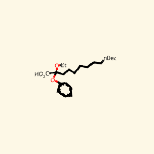 CCCCCCCCCCCCCCCCCC(OCC)(Oc1ccccc1)C(=O)O